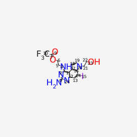 Nc1nc(NCCOC(=O)C(F)(F)F)c2c(cc(I)c3c2ccn3CCO)n1